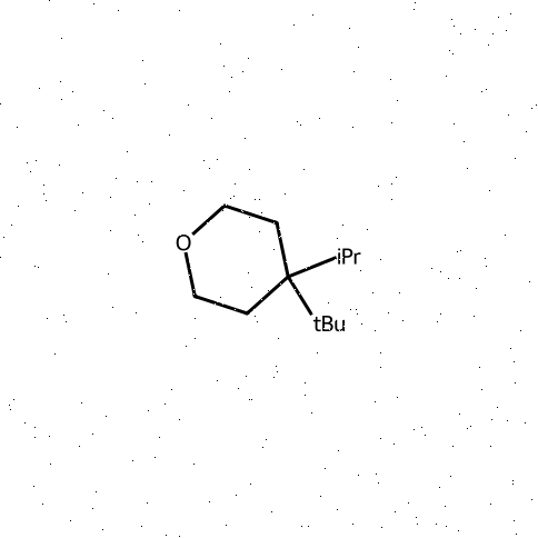 CC(C)C1(C(C)(C)C)CCOCC1